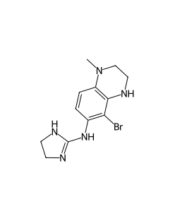 CN1CCNc2c1ccc(NC1=NCCN1)c2Br